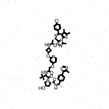 Cc1ncsc1-c1ccc([C@H](C)NC(=O)[C@@H]2C[C@@H](O)CN2C(=O)C(NC(=O)COc2ccnc(O[C@H]3C[C@@H](NC(=O)C[C@@H]4N=C(c5ccc(Cl)cc5)c5c(sc(C)c5C)-n5c(C)nnc54)C3)c2)C(C)(C)C)cc1